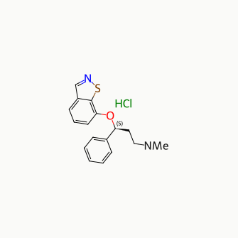 CNCC[C@H](Oc1cccc2cnsc12)c1ccccc1.Cl